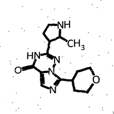 CC1NCCC1c1nn2c(C3CCOCC3)ncc2c(=O)[nH]1